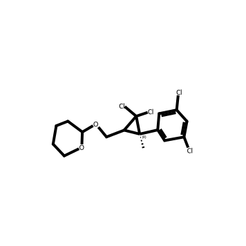 C[C@]1(c2cc(Cl)cc(Cl)c2)C(COC2CCCCO2)C1(Cl)Cl